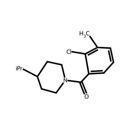 Cc1cccc(C(=O)N2CCC(C(C)C)CC2)c1Cl